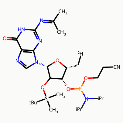 [2H]C[C@H]1O[C@@H](n2cnc3c(=O)[nH]c(N=C(C)C)nc32)C(O[Si](C)(C)C(C)(C)C)[C@H]1OP(OCCC#N)N(C(C)C)C(C)C